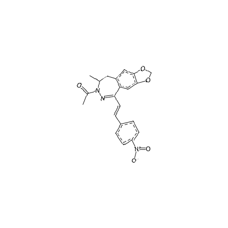 CC(=O)N1N=C(/C=C/c2ccc([N+](=O)[O-])cc2)c2cc3c(cc2CC1C)OCO3